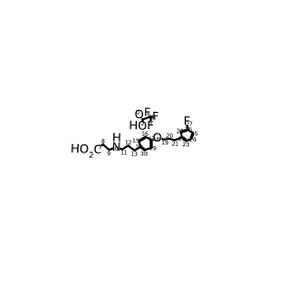 O=C(O)C(F)(F)F.O=C(O)CCNCCCc1ccc(OCCCc2cccc(F)c2)cc1